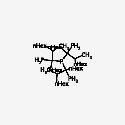 CCCCCCC(C)C(P)(CCCCCC)P(C(P)(CCCCCC)C(C)CCCCCC)C(P)(CCCCCC)C(C)CCCCCC